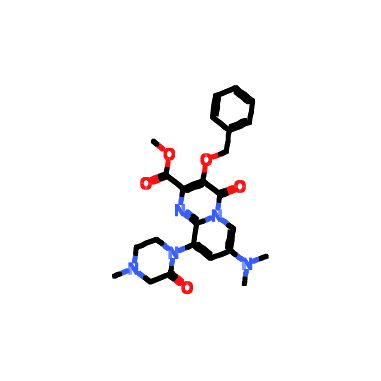 COC(=O)c1nc2c(N3CCN(C)CC3=O)cc(N(C)C)cn2c(=O)c1OCc1ccccc1